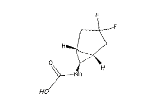 O=C(O)N[C@H]1[C@@H]2CC(F)(F)C[C@@H]21